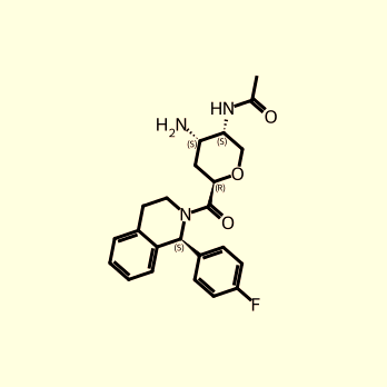 CC(=O)N[C@@H]1CO[C@@H](C(=O)N2CCc3ccccc3[C@@H]2c2ccc(F)cc2)C[C@@H]1N